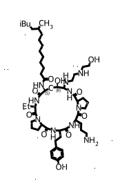 CCC(C)CC(C)CCCCCCCCC(=O)N[C@H]1C[C@@H](O)C(NCCNCCO)NC(=O)C2CCCN2C(=O)C(CCCN)NC(=O)C(CCc2ccc(O)cc2)NC(=O)C2CCCN2C(=O)C(CC)NC1=O